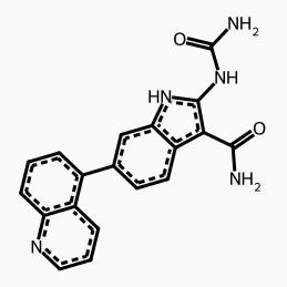 NC(=O)Nc1[nH]c2cc(-c3cccc4ncccc34)ccc2c1C(N)=O